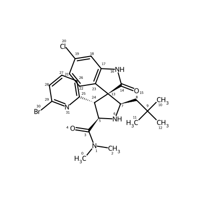 CN(C)C(=O)[C@@H]1N[C@H](CC(C)(C)C)[C@]2(C(=O)Nc3cc(Cl)ccc32)[C@H]1c1cccc(Br)n1